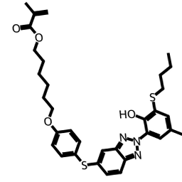 C=C(C)C(=O)OCCCCCCOc1ccc(Sc2ccc3nn(-c4cc(C)cc(SCCCC)c4O)nc3c2)cc1